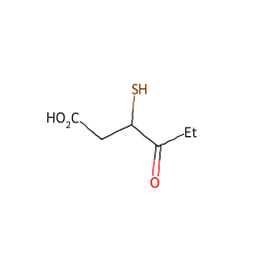 CCC(=O)C(S)CC(=O)O